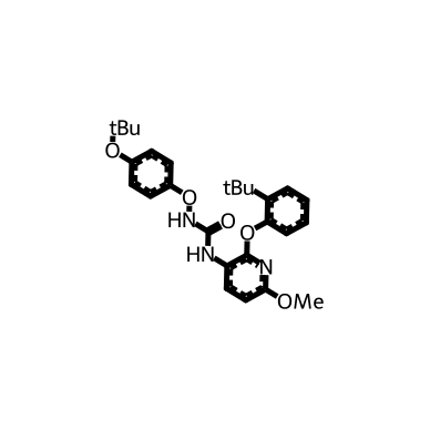 COc1ccc(NC(=O)NOc2ccc(OC(C)(C)C)cc2)c(Oc2ccccc2C(C)(C)C)n1